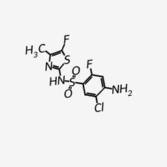 Cc1nc(NS(=O)(=O)c2cc(Cl)c(N)cc2F)sc1F